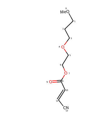 COCCCOCCOC(=O)C=CC#N